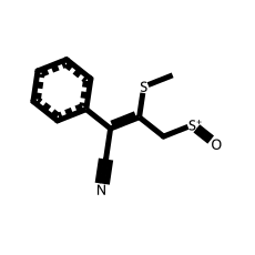 CSC(C[S+]=O)=C(C#N)c1ccccc1